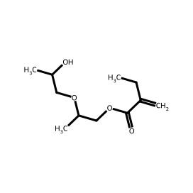 C=C(CC)C(=O)OCC(C)OCC(C)O